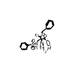 NC(CNS(=O)(=O)c1ccccc1)(C(=O)O)C(=O)OCc1ccccc1